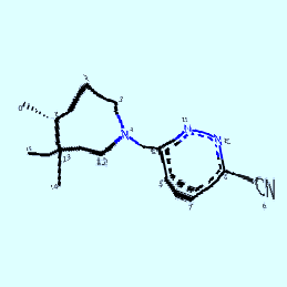 C[C@@H]1CCN(c2ccc(C#N)nn2)CC1(C)C